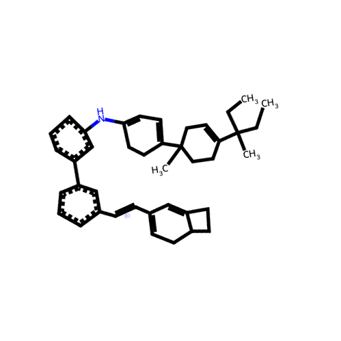 CCC(C)(CC)C1=CCC(C)(C2=CC=C(Nc3cccc(-c4cccc(/C=C/C5=CCC6CCC6=C5)c4)c3)CC2)CC1